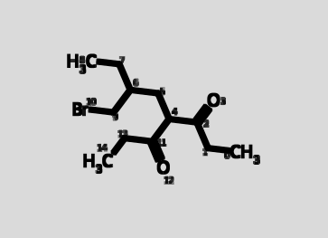 CCC(=O)C(CC(CC)CBr)C(=O)CC